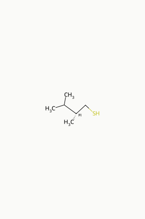 CC(C)[C@@H](C)CS